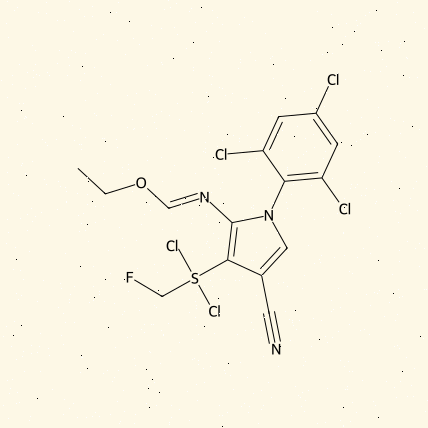 CCOC=Nc1c(S(Cl)(Cl)CF)c(C#N)cn1-c1c(Cl)cc(Cl)cc1Cl